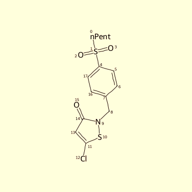 CCCCCS(=O)(=O)c1ccc(Cn2sc(Cl)cc2=O)cc1